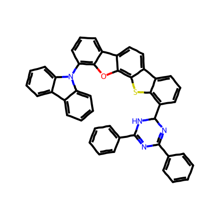 c1ccc(C2=NC(c3cccc4c3sc3c4ccc4c5cccc(-n6c7ccccc7c7ccccc76)c5oc43)NC(c3ccccc3)=N2)cc1